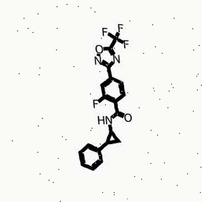 O=C(NC1CC1c1ccccc1)c1ccc(-c2noc(C(F)(F)F)n2)cc1F